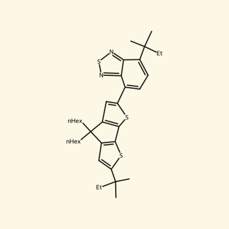 CCCCCCC1(CCCCCC)c2cc(-c3ccc(C(C)(C)CC)c4nsnc34)sc2-c2sc(C(C)(C)CC)cc21